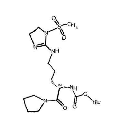 CC(C)(C)OC(=O)N[C@@H](CCCNC1=NCCN1S(C)(=O)=O)C(=O)N1CCCC1